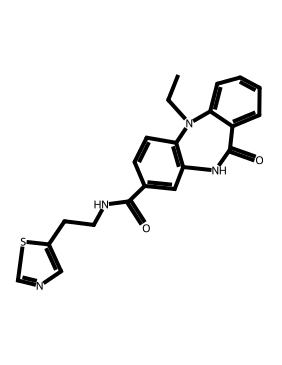 CCN1c2ccc(C(=O)NCCc3cncs3)cc2NC(=O)c2ccccc21